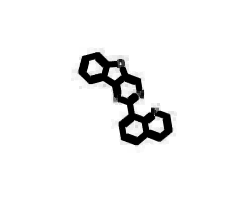 c1cnc2c(-c3ncc4oc5ccccc5c4n3)cccc2c1